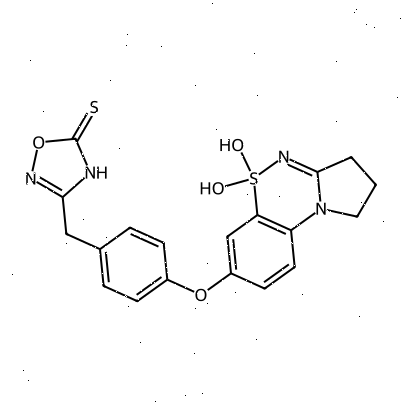 OS1(O)N=C2CCCN2c2ccc(Oc3ccc(Cc4noc(=S)[nH]4)cc3)cc21